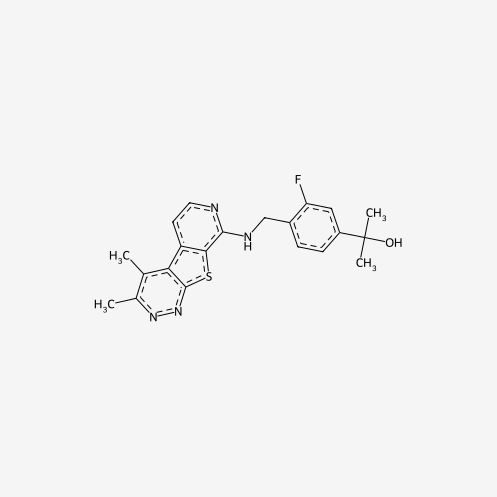 Cc1nnc2sc3c(NCc4ccc(C(C)(C)O)cc4F)nccc3c2c1C